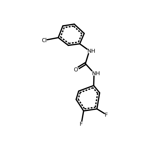 O=C(Nc1cccc(Cl)c1)Nc1ccc(F)c(F)c1